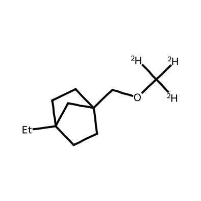 [2H]C([2H])([2H])OCC12CCC(CC)(CC1)C2